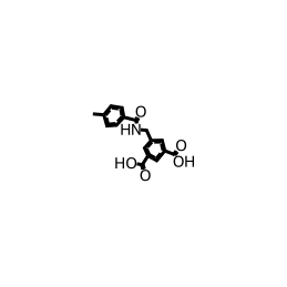 Cc1ccc(C(=O)NCc2cc(C(=O)O)cc(C(=O)O)c2)cc1